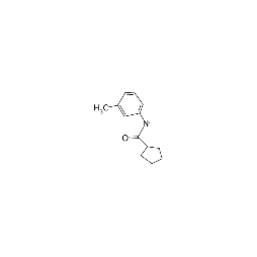 Cc1cccc([N]C(=O)C2CCCC2)c1